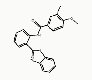 COc1ccc(C(=O)Nc2ccccc2-c2nc3ccccc3s2)cc1C